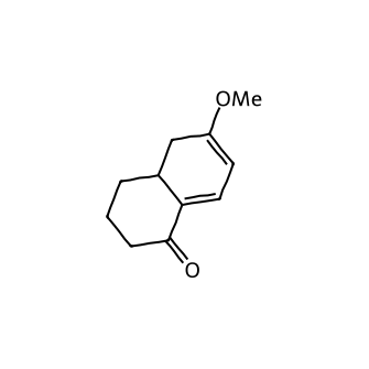 COC1=CC=C2C(=O)CCCC2C1